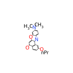 CCCOc1ccc2c(=O)cc3oc4cc(N(C)C)ccc4nc-3c2c1